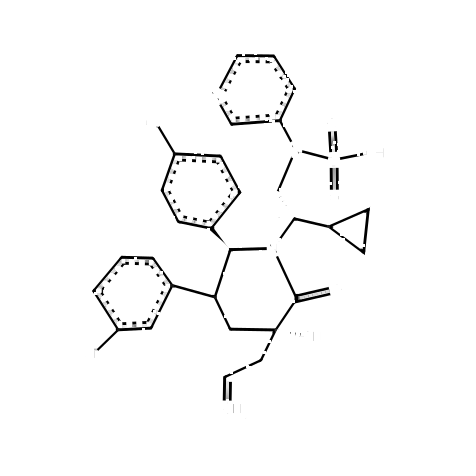 C=CC[C@@]1(C)CC(c2cccc(Cl)c2)[C@@H](c2ccc(Cl)cc2)N([C@H](CN(c2cccnc2)S(C)(=O)=O)C2CC2)C1=O